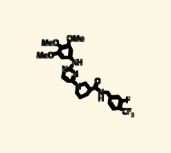 COc1cc(Nc2nccc(N3CCCC(C(=O)NCc4ccc(C(F)(F)F)c(F)c4)C3)n2)cc(OC)c1OC